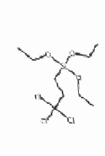 CCO[Si](CCC(Cl)(Cl)Cl)(OCC)OCC